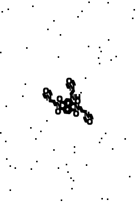 O=C1c2ccc3c4c(c(NCCN5CCOCC5)cc(c24)C(=O)N1CCCN1CCOCC1)C(=O)N(CCCN1CCOCC1)C3=O